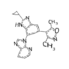 Cc1noc(C)c1-c1cc(-n2cnc3cccnc32)c2[nH]c(C3CC3)nc2c1